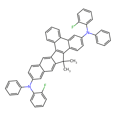 CC1(C)c2cc3cc(N(c4ccccc4)c4ccccc4F)ccc3cc2-c2c1c1ccc(N(c3ccccc3)c3ccccc3F)cc1c1ccccc21